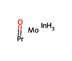 [InH3].[Mo].[O]=[Pr]